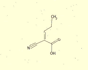 CCC=C(C#N)C(=O)O